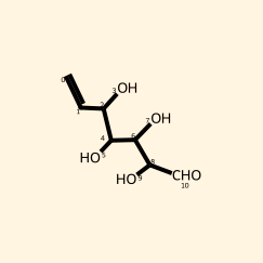 C=CC(O)C(O)C(O)C(O)C=O